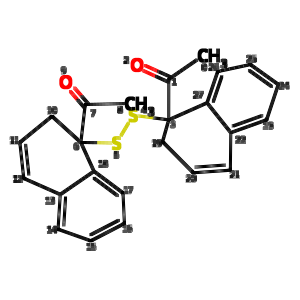 CC(=O)C1(SSC2(C(C)=O)CC=Cc3ccccc32)CC=Cc2ccccc21